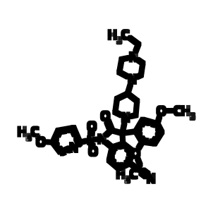 CCOc1ccc(OC)cc1C1(N2CCC(N3CCN(CC)CC3)CC2)C(=O)N(S(=O)(=O)c2ccc(OC)cn2)c2ccc(C#N)cc21